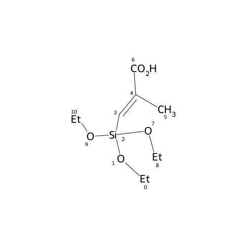 CCO[Si](C=C(C)C(=O)O)(OCC)OCC